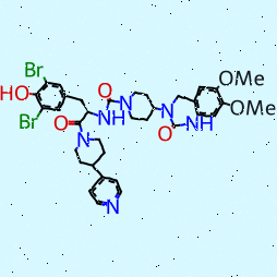 COc1cc2c(cc1OC)NC(=O)N(C1CCN(C(=O)N[C@H](Cc3cc(Br)c(O)c(Br)c3)C(=O)N3CCC(c4ccncc4)CC3)CC1)C2